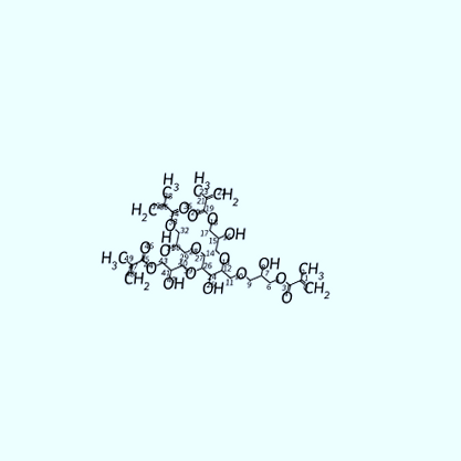 C=C(C)C(=O)OCC(O)COCC(OCC(O)COC(=O)C(=C)C)C(O)C(COCC(O)COC(=O)C(=C)C)OCC(O)COC(=O)C(=C)C